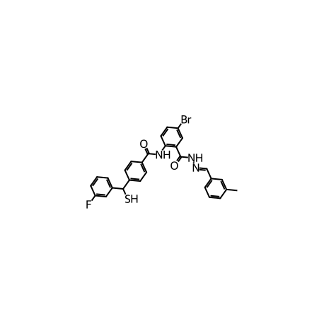 Cc1cccc(/C=N/NC(=O)c2cc(Br)ccc2NC(=O)c2ccc(C(S)c3cccc(F)c3)cc2)c1